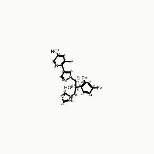 Cc1cc(C#N)cnc1-c1cnn([C@H](C)[C@](O)(Cn2cncn2)c2ccc(F)cc2F)c1